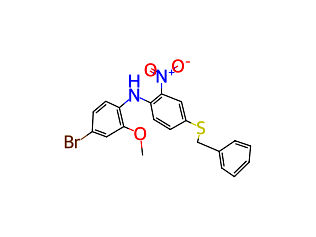 COc1cc(Br)ccc1Nc1ccc(SCc2ccccc2)cc1[N+](=O)[O-]